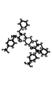 CN(C)c1ccc(NC(=O)N(Cc2ccccc2)CC2CCCC(CN(Cc3ccccc3)C(=O)Nc3ccc(N(C)C)cc3)C2)cc1